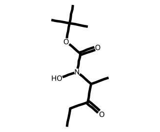 CCC(=O)C(C)N(O)C(=O)OC(C)(C)C